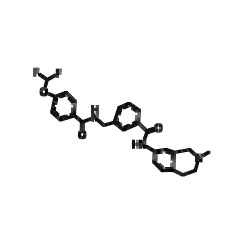 CN1CCc2ccc(NC(=O)c3cccc(CNC(=O)c4ccc(OC(F)F)cc4)c3)cc2C1